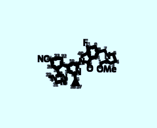 COCC1CCCN1Cc1cc(F)c2c(c1)C(=O)N(c1cc(-c3ccc(C#N)cc3-c3nncn3C)cc(C3CC3)n1)C2